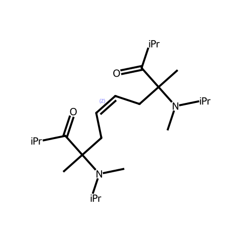 CC(C)C(=O)C(C)(C/C=C\CC(C)(C(=O)C(C)C)N(C)C(C)C)N(C)C(C)C